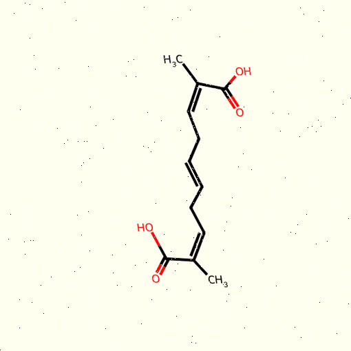 CC(=CCC=CCC=C(C)C(=O)O)C(=O)O